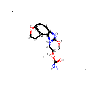 COc1nc2ccc3c(c2n1CCOC(N)=O)CCO3